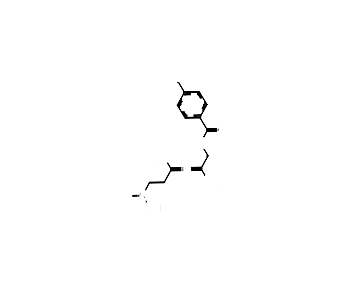 CC(=C=C(C)COC(=O)c1ccc(I)cc1)CCN(C)C